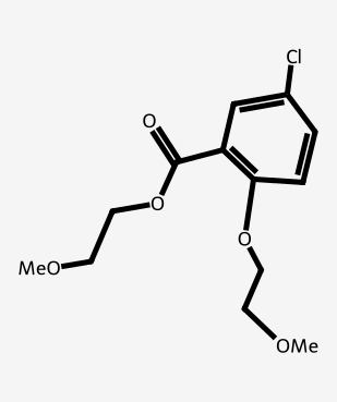 COCCOC(=O)c1cc(Cl)ccc1OCCOC